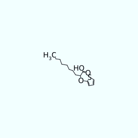 CCCCCCCCC(Oc1cccs1)C(=O)O